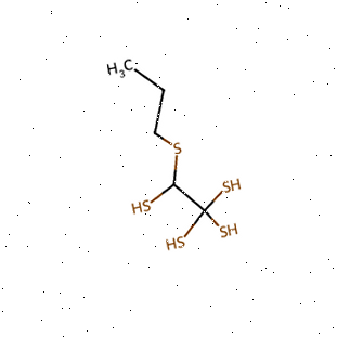 CCCSC(S)C(S)(S)S